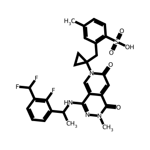 Cc1ccc(S(=O)(=O)O)c(CC2(n3cc4c(NC(C)c5cccc(C(F)F)c5F)nn(C)c(=O)c4cc3=O)CC2)c1